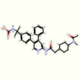 CC(=O)N(C)C1CCC(CC(=O)Nc2cc(-c3ccccc3)c(-c3ccc(C(C)(C)NC(=O)O)cc3)cn2)CC1